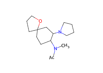 CC(=O)N(C)C1CCC2(CCCO2)CC1N1CCCC1